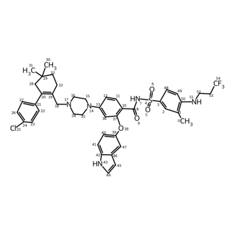 Cc1cc(S(=O)(=O)NC(=O)c2ccc(N3CCN(CC4=C(c5ccc(Cl)cc5)CC(C)(C)CC4)CC3)cc2Oc2ccc3[nH]ccc3c2)ccc1NCCC(F)(F)F